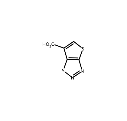 O=C(O)c1csc2nnsc12